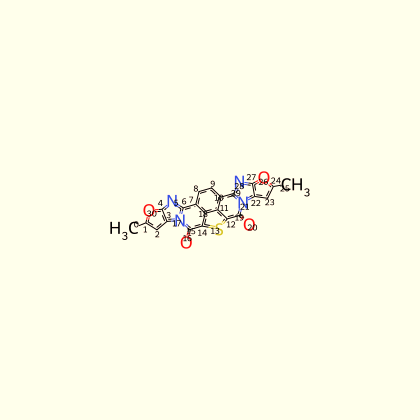 Cc1cc2c(nc3c4ccc5c6c(sc(c(=O)n23)c46)c(=O)n2c3cc(C)oc3nc52)o1